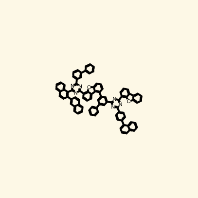 c1ccc(-c2cccc(-c3nc(-c4c(-c5ccc6ccccc6c5)ccc5ccccc45)nc(-c4cccc5c4oc4cccc(-c6cc(-c7ccccc7)cc(-c7nc(-c8ccc(-c9cccc%10ccccc9%10)cc8)nc(-c8cccc9c8oc8ccccc89)n7)c6)c45)n3)c2)cc1